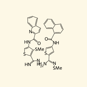 CSN=C(N)c1cc(NC(=O)c2cccc3ccccc23)cs1.CSc1c(NC(=O)c2ccc3ccccc3n2)csc1C(=N)N